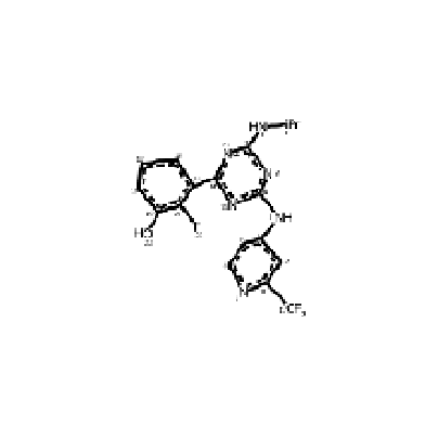 CC(C)Nc1nc(Nc2ccnc(C(F)(F)F)c2)nc(-c2cccc(O)c2F)n1